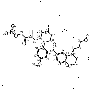 COCCCN1CCOc2ccc(CO[C@H]3CNC[C@@H](CNC(=O)CO[N+](=O)[O-])[C@@H]3c3ccc(OC)cc3)cc21